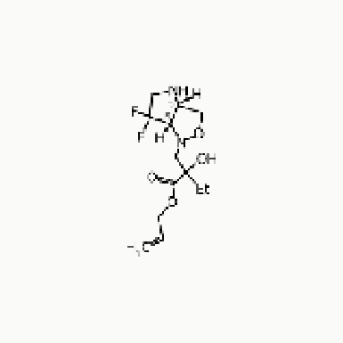 C=CCOC(=O)C(O)(CC)CN1OC[C@H]2NCC(F)(F)[C@H]21